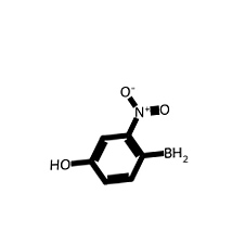 Bc1ccc(O)cc1[N+](=O)[O-]